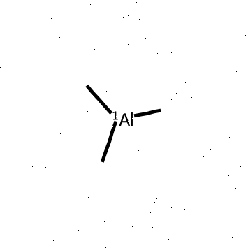 [CH3][1Al]([CH3])[CH3]